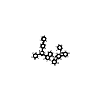 c1ccc(-c2ccc(-c3nc(-c4ccccc4)cc(-c4cccc5c(-n6c7ccccc7c7cc8c9ccccc9n(-c9ccccc9)c8cc76)cccc45)n3)cc2)cc1